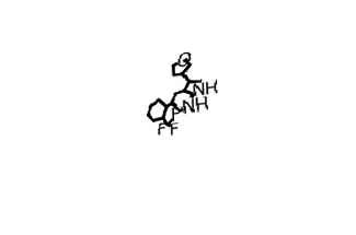 FC(F)(F)C1CCCCC1C1CNC2NCC(C3CCOC3)C2C1